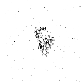 C[C@@H]1Cc2c([nH]c3ccccc23)[C@@H](c2c(F)cc(O[C@@H]3CC[C@H](N)C3)cc2F)N1CC(C)(C)F